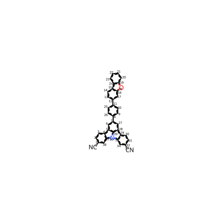 N#Cc1ccc2c3cc(-c4ccc(-c5ccc6c(c5)oc5ccccc56)cc4)cc4c5ccc(C#N)cc5n(c2c1)c34